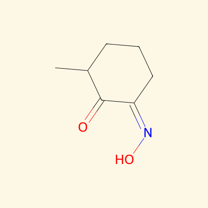 CC1CCCC(=NO)C1=O